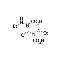 CCNN(C(=O)O)C(=O)N(NCC)C(=O)O